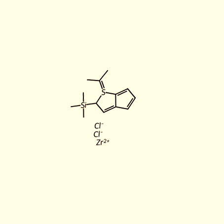 CC(C)=S1C2=CC=CC2=CC1[Si](C)(C)C.[Cl-].[Cl-].[Zr+2]